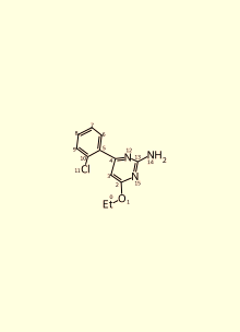 CCOc1cc(-c2ccccc2Cl)nc(N)n1